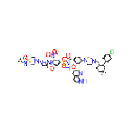 CC1(C)CCC(CN2CCN(c3ccc(C(=O)NS(=O)(=O)c4cc5c(c([N+](=O)[O-])c4)N[C@H](CCN4CCS(=O)(=NC6CC6)CC4)CO5)c(Oc4cnc5[nH]ccc5c4)c3)CC2)=C(c2ccc(Cl)cc2)C1